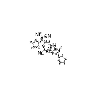 Cn1c(-c2ccccc2)cc2oc(C=C3C(=C(C#N)C#N)c4ccccc4C3=C(C#N)C#N)nc21